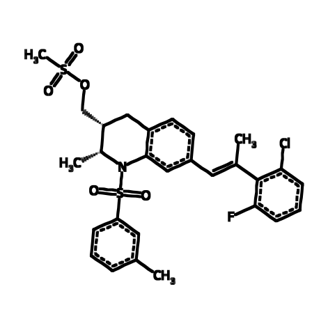 C/C(=C\c1ccc2c(c1)N(S(=O)(=O)c1cccc(C)c1)[C@H](C)[C@H](COS(C)(=O)=O)C2)c1c(F)cccc1Cl